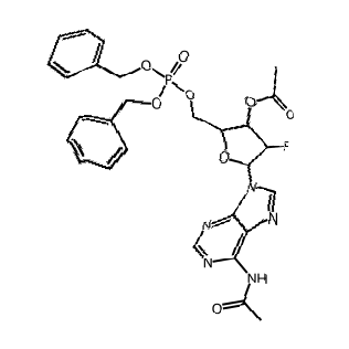 CC(=O)Nc1ncnc2c1ncn2C1OC(COP(=O)(OCc2ccccc2)OCc2ccccc2)C(OC(C)=O)C1F